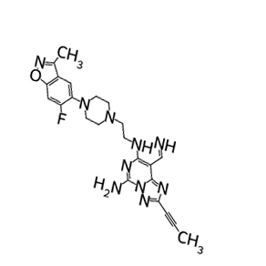 CC#Cc1nc2c(C=N)c(NCCN3CCN(c4cc5c(C)noc5cc4F)CC3)nc(N)n2n1